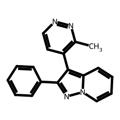 Cc1nnccc1-c1c(-c2ccccc2)nn2ccccc12